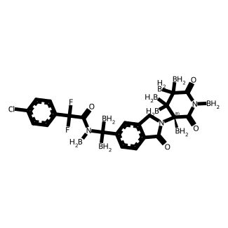 BN1C(=O)C(B)(B)C(B)(B)[C@@](B)(N2Cc3cc(C(B)(B)N(B)C(=O)C(F)(F)c4ccc(Cl)cc4)ccc3C2=O)C1=O